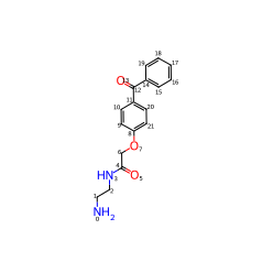 NCCNC(=O)COc1ccc(C(=O)c2ccccc2)cc1